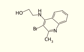 Cc1nc2ccccc2c(NCCO)c1Br